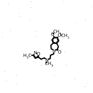 COc1cc2c(cc1OC)CC(=O)N(CCCN(C)CCc1cc(C)no1)CC2